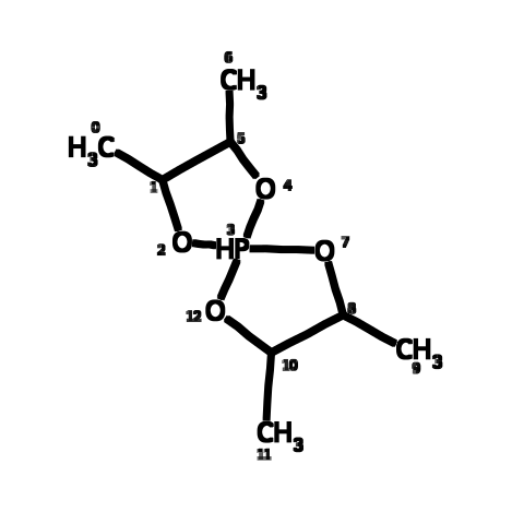 CC1O[PH]2(OC1C)OC(C)C(C)O2